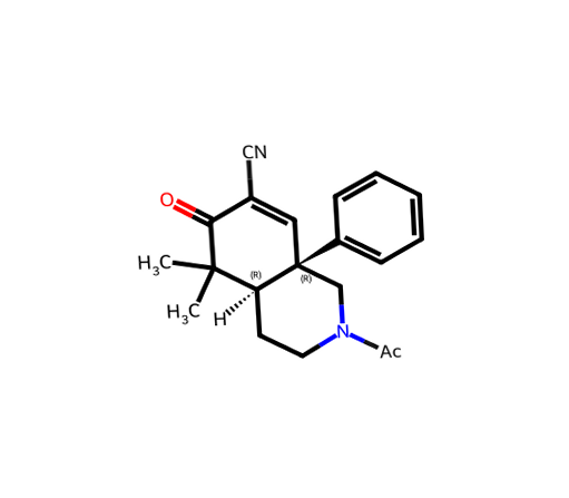 CC(=O)N1CC[C@H]2C(C)(C)C(=O)C(C#N)=C[C@]2(c2ccccc2)C1